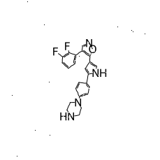 Fc1cccc(-c2cnoc2-c2c[nH]c(-c3ccc(N4CCNCC4)cc3)c2)c1F